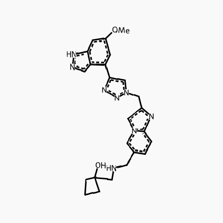 COc1cc(-c2cn(Cc3cn4cc(CNCC5(O)CCC5)ccc4n3)nn2)c2cn[nH]c2c1